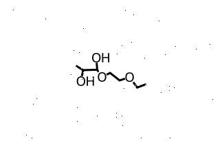 CCOCCOC(O)C(C)O